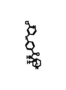 O=C(N[C@H]1CN2CCC1CC2)c1ccc(Sc2ccnc(Cl)c2)cc1